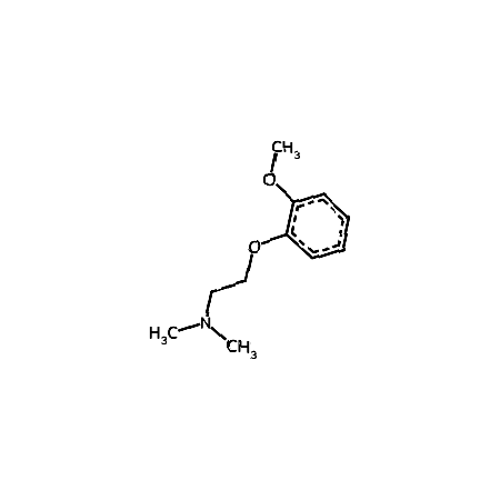 COc1ccccc1OCCN(C)C